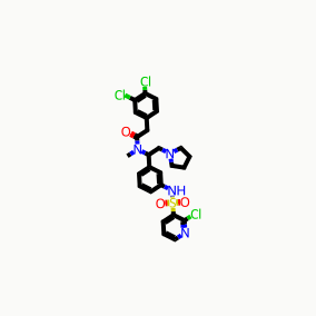 CN(C(=O)Cc1ccc(Cl)c(Cl)c1)C(CN1CCCC1)c1cccc(NS(=O)(=O)c2cccnc2Cl)c1